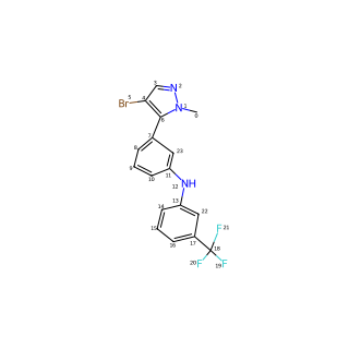 Cn1ncc(Br)c1-c1cccc(Nc2cccc(C(F)(F)F)c2)c1